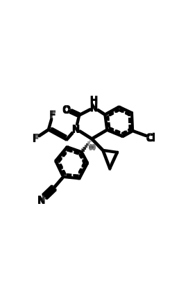 N#Cc1ccc([C@@]2(C3CC3)c3cc(Cl)ccc3NC(=O)N2C=C(F)F)cc1